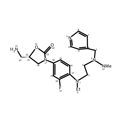 CCN(CCN(Cc1ccncc1)NC)c1ccc(N2C[C@H](CN)OC2=O)cc1F